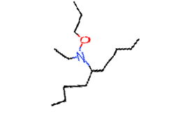 CCCCC(CCCC)N(CC)OCCC